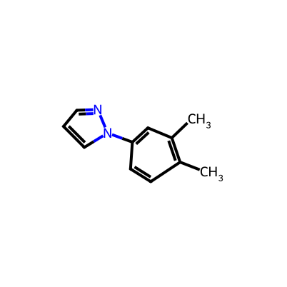 Cc1ccc(-n2cccn2)cc1C